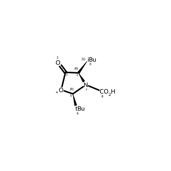 CC[C@H](C)[C@@H]1C(=O)O[C@H](C(C)(C)C)N1C(=O)O